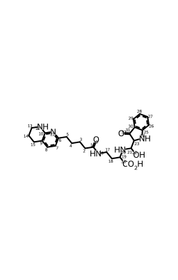 O=C(CCCCc1ccc2c(n1)NCCC2)NCCC(NC(O)C1Nc2ccccc2C1=O)C(=O)O